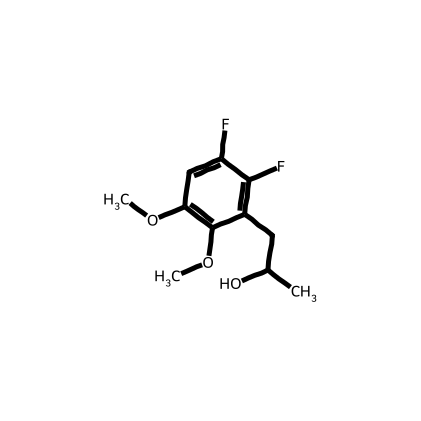 COc1cc(F)c(F)c(CC(C)O)c1OC